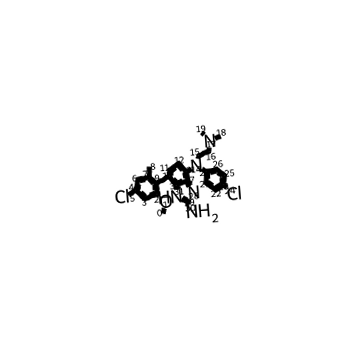 COc1cc(Cl)cc(C)c1-c1ccc(N(CCN(C)C)c2ccc(Cl)cc2)c2nc(N)[nH]c12